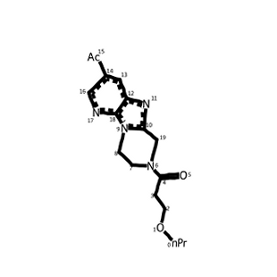 CCCOCCC(=O)N1CCn2c(nc3cc(C(C)=O)cnc32)C1